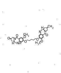 C=C1C[C@H]2C=Nc3cc(OCCCCCOc4cc5c(cc4OC)C(=O)N4CC(=O)C[C@H]4CN5)c(OC)cc3C(=O)N2C1